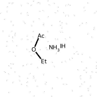 CCOC(C)=O.I.N